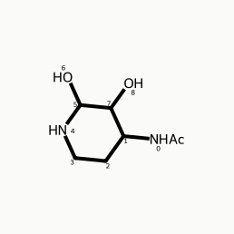 CC(=O)NC1CCNC(O)C1O